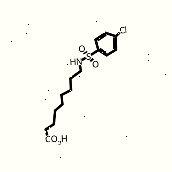 O=C(O)CCCCCCCCNS(=O)(=O)c1ccc(Cl)cc1